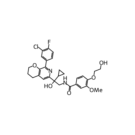 COc1cc(C(=O)NCC(O)(c2cc3c(c(-c4ccc(F)c(Cl)c4)n2)OCCC3)C2CC2)ccc1OCCO